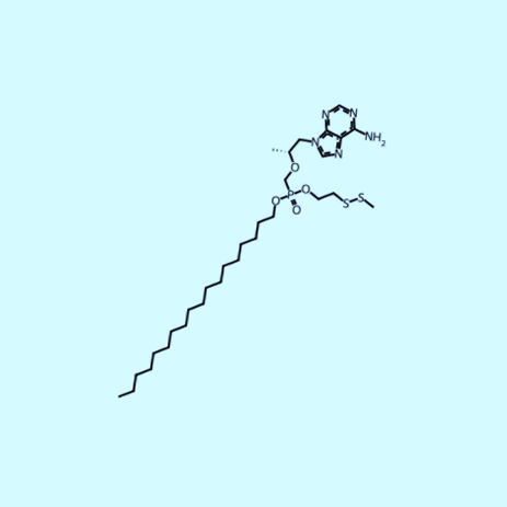 CCCCCCCCCCCCCCCCCCOP(=O)(CO[C@H](C)Cn1cnc2c(N)ncnc21)OCCSSC